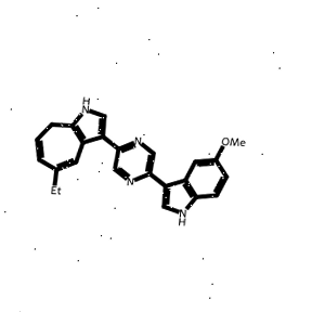 CCC1=Cc2c(-c3cnc(-c4c[nH]c5ccc(OC)cc45)cn3)c[nH]c2CC=C1